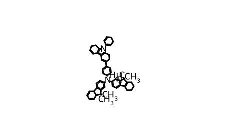 CC1(C)c2cc(N(C3=CC=C4C5=C(CCCC5)C(C)(C)[C@@H]4C3)C3C=CC(C4=Cc5c6c(n(C7=CCCC=C7)c5CC4)CCC=C6)=CC3)ccc2C2C=CC=CC21